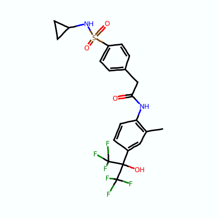 Cc1cc(C(O)(C(F)(F)F)C(F)(F)F)ccc1NC(=O)Cc1ccc(S(=O)(=O)NC2CC2)cc1